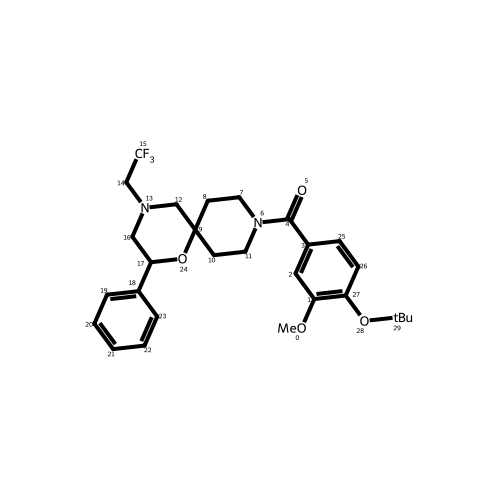 COc1cc(C(=O)N2CCC3(CC2)CN(CC(F)(F)F)CC(c2ccccc2)O3)ccc1OC(C)(C)C